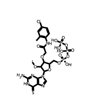 Cc1cc(Cl)ccc1NC(=O)COC1C(COP(=O)(O)OP(=O)(O)OP(=O)(O)O)OC(n2cnc3c(=S)[nH]c(N)nc32)C1OI